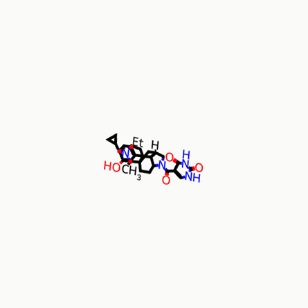 CCc1ccc(O)cc1C12CCN(CC3CC3)C(C)C13CCC1C2[C@@H](CN1C(=O)c1c[nH]c(=O)[nH]c1=O)C3